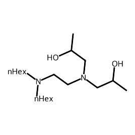 CCCCCCN(CCCCCC)CCN(CC(C)O)CC(C)O